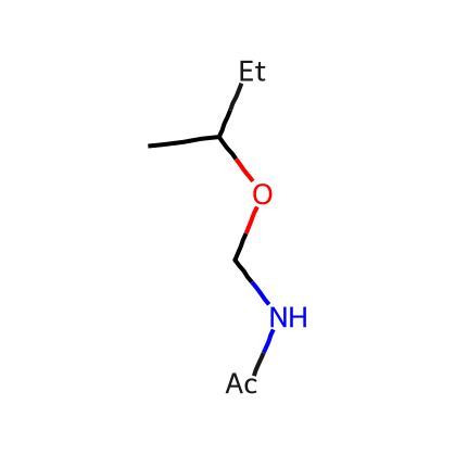 CCC(C)OCNC(C)=O